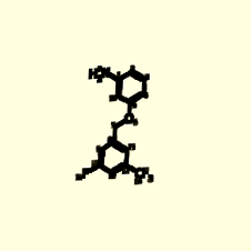 Nc1cccc(OCc2cc(F)cc(C(F)(F)F)c2)c1